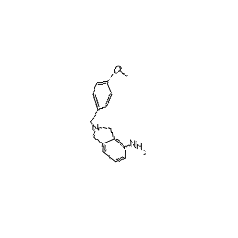 COc1ccc(CN2Cc3cccc(N)c3C2)cc1